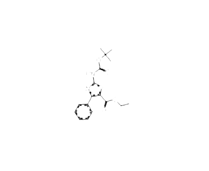 CCOC(=O)c1sc(NC(=O)OC(C)(C)C)nc1-c1ccccc1